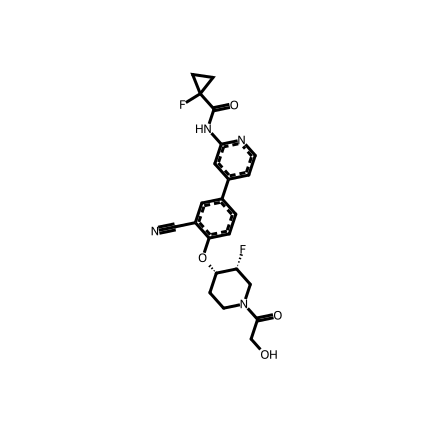 N#Cc1cc(-c2ccnc(NC(=O)C3(F)CC3)c2)ccc1O[C@H]1CCN(C(=O)CO)C[C@H]1F